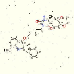 Cc1cccc2c(OCCCCCN3C(=O)NC(C)(c4ccc5c(c4)OCCO5)C3=O)c(Cc3ccccc3)cnc12